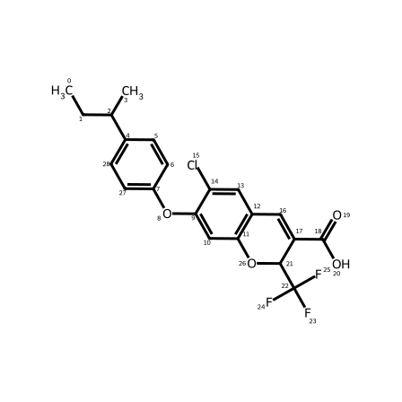 CCC(C)c1ccc(Oc2cc3c(cc2Cl)C=C(C(=O)O)C(C(F)(F)F)O3)cc1